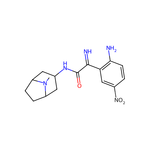 CN1C2CCC1CC(NC(=O)C(=N)c1cc([N+](=O)[O-])ccc1N)C2